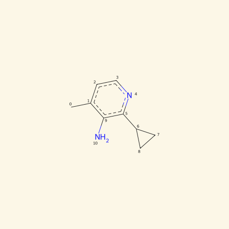 Cc1ccnc(C2CC2)c1N